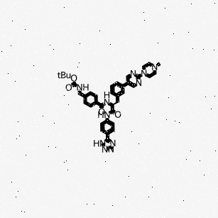 CN1CCN(c2ncc(-c3cccc(C[C@H](NC(=O)C4CCC(CNC(=O)OC(C)(C)C)CC4)C(=O)Nc4ccc(-c5nnn[nH]5)cc4)c3)cn2)CC1